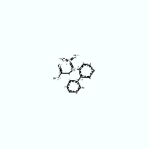 O=C(O)C[N+](c1ccccc1-c1ccccc1)=S(=O)=O